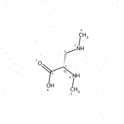 CNC[C@H](NC)C(=O)O